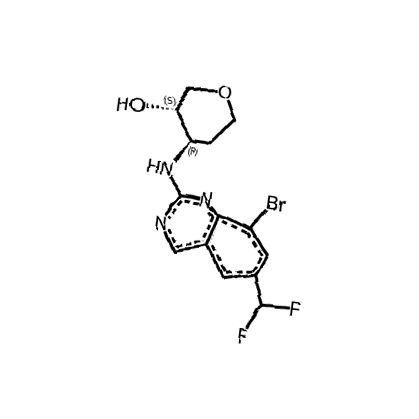 O[C@@H]1COCC[C@H]1Nc1ncc2cc(C(F)F)cc(Br)c2n1